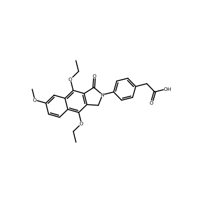 CCOc1c2c(c(OCC)c3cc(OC)ccc13)C(=O)N(c1ccc(CC(=O)O)cc1)C2